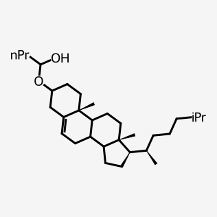 CCCC(O)OC1CC[C@@]2(C)C(=CCC3C2CC[C@@]2(C)C3CC[C@@H]2[C@H](C)CCCC(C)C)C1